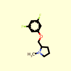 CN1CCCC1COc1cc(F)cc(F)c1